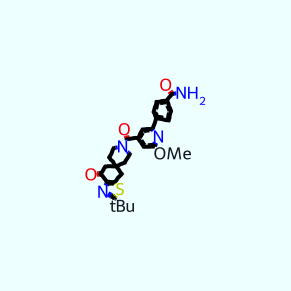 COc1cc(C(=O)N2CCC3(CC2)CC(=O)c2nc(C(C)(C)C)sc2C3)cc(-c2ccc(C(N)=O)cc2)n1